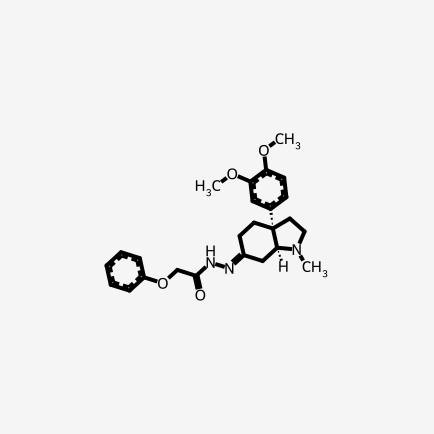 COc1ccc([C@@]23CCC(=NNC(=O)COc4ccccc4)C[C@@H]2N(C)CC3)cc1OC